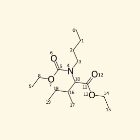 CCCCN(C(=O)OCC)C(C(=O)OCC)C(C)CC